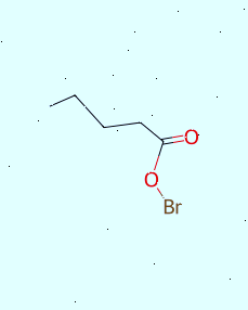 CCCCC(=O)OBr